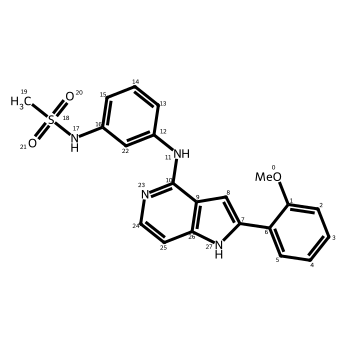 COc1ccccc1-c1cc2c(Nc3cccc(NS(C)(=O)=O)c3)nccc2[nH]1